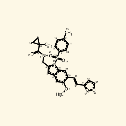 COc1cc2cc(CNC(=O)C3(C)CC3)n(S(=O)(=O)c3ccc(C)cc3)c2cc1/C=C/c1ccon1